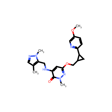 COc1ccc(C2CC2COc2cc(NCc3c(C)cnn3C)c(=O)n(C)n2)nc1